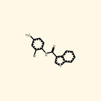 Cc1ccc(NC(=O)c2csc3ccccc23)c(Br)c1